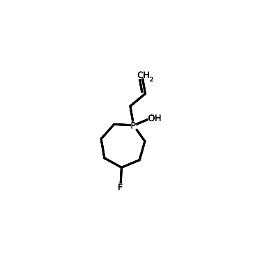 C=CC[P]1(O)CCCC(F)CC1